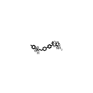 Cc1ccc(S(=O)(=O)NCCC2CCC(c3ccc(C4=Nc5c(N)ncnc5OC4(C)C)cc3)CC2)cc1